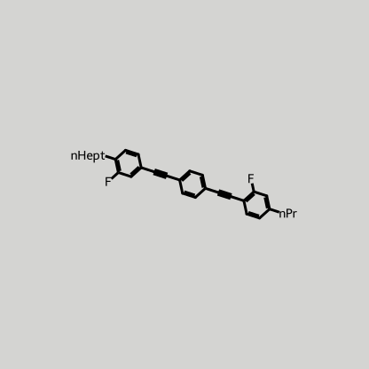 CCCCCCCc1ccc(C#Cc2ccc(C#Cc3ccc(CCC)cc3F)cc2)cc1F